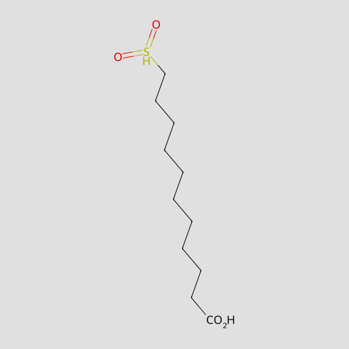 O=C(O)CCCCCCCCCC[SH](=O)=O